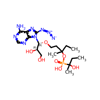 CCC(C)(CCO[C@H]([C@H](O)CO)n1c(N=[N+]=[N-])nc2c(N)ncnc21)OP(=O)(O)C(C)(O)CC